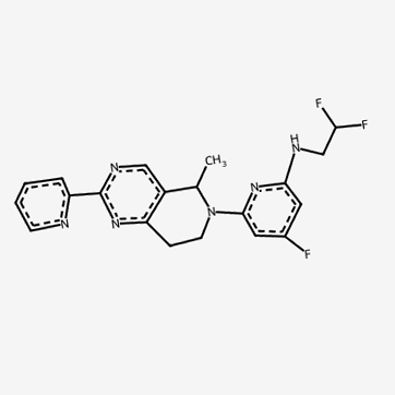 CC1c2cnc(-c3ccccn3)nc2CCN1c1cc(F)cc(NCC(F)F)n1